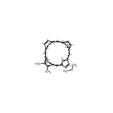 COC.Cc1c(C)c2cc3nc(cc4ccc(cc5nc(cc1[nH]2)C=C5)[nH]4)C=C3